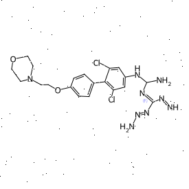 N=N/C(N=NN)=N\C(N)Nc1cc(Cl)c(-c2ccc(OCCN3CCOCC3)cc2)c(Cl)c1